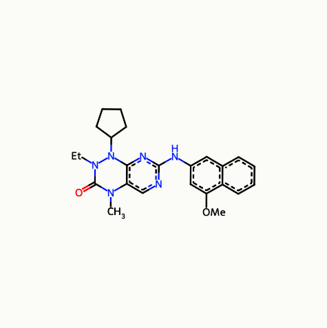 CCN1C(=O)N(C)c2cnc(Nc3cc(OC)c4ccccc4c3)nc2N1C1CCCC1